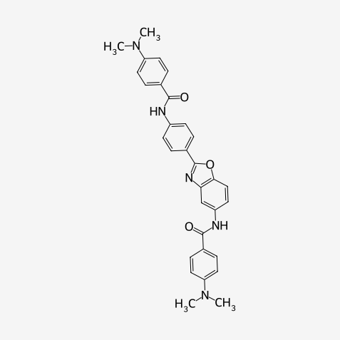 CN(C)c1ccc(C(=O)Nc2ccc(-c3nc4cc(NC(=O)c5ccc(N(C)C)cc5)ccc4o3)cc2)cc1